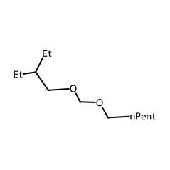 CCCCCCOCO[CH]C(CC)CC